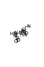 CNC(=O)c1cc(N2CCC(c3n[nH]c4ncc(OCS(C)(=O)=O)cc34)CC2)nc(OC[C@H]2CC2C#N)n1